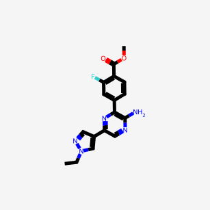 CCn1cc(-c2cnc(N)c(-c3ccc(C(=O)OC)c(F)c3)n2)cn1